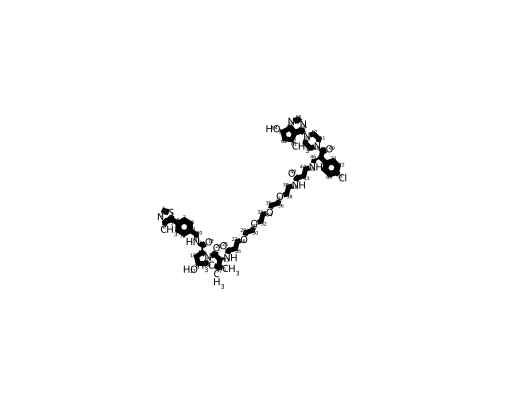 Cc1ncsc1-c1ccc(CNC(=O)[C@@H]2C[C@@H](O)CN2C(=O)[C@@H](NC(=O)CCOCCOCCOCCOCCNC(=O)CCNC[C@@H](C(=O)N2CCN(c3ncnc4c3[C@H](C)C[C@H]4O)CC2)c2ccc(Cl)cc2)C(C)(C)C)cc1